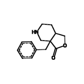 O=C1OCC2CCNCC12Cc1ccccc1